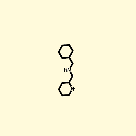 C1CCC(CNCC2CCCC[N]2)CC1